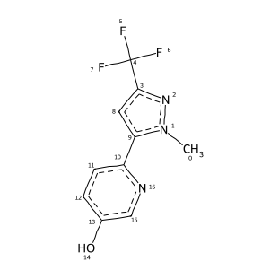 Cn1nc(C(F)(F)F)cc1-c1ccc(O)cn1